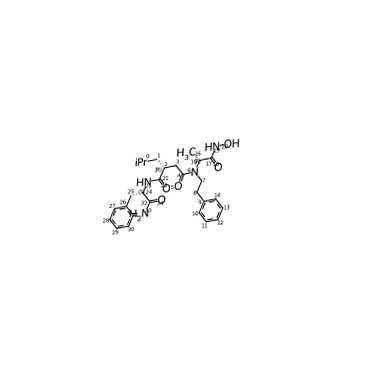 CC(C)C[C@H](CC(=O)N(CCc1ccccc1)[C@H](C)C(=O)NO)C(=O)N[C@@H](Cc1ccccc1)C(N)=O